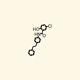 O=C(Nc1ccc(CCc2ccccc2)cc1)c1cc(Cl)ccc1O